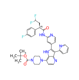 CC(C)(C)OC(=O)N1CCN(c2ccnc3c(-c4ccccn4)c(-c4ccnc(NC(=O)[C@H](CC(F)F)c5ccc(F)cc5)c4)[nH]c23)CC1